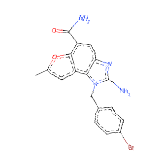 Cc1cc2c(o1)c(C(N)=O)cc1nc(N)n(Cc3ccc(Br)cc3)c12